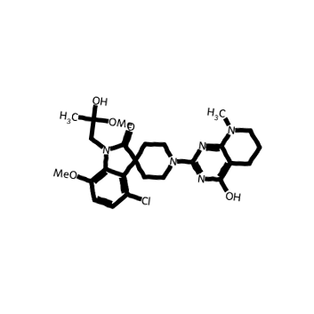 COc1ccc(Cl)c2c1N(CC(C)(O)OC)C(=O)C21CCN(c2nc(O)c3c(n2)N(C)CCC3)CC1